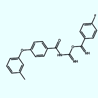 Cc1cccc(Oc2ccc(C(=O)NC(=N)OC(=N)c3ccc(F)cc3)cc2)c1